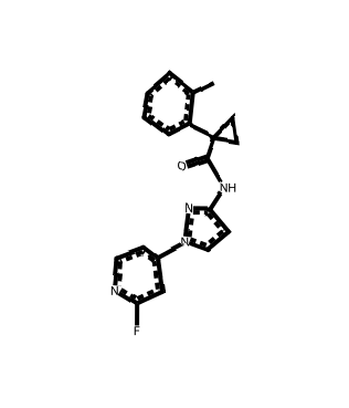 Cc1ccccc1C1(C(=O)Nc2ccn(-c3ccnc(F)c3)n2)CC1